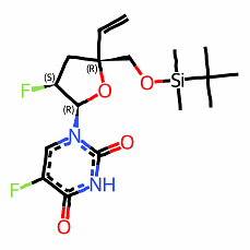 C=C[C@@]1(CO[Si](C)(C)C(C)(C)C)C[C@H](F)[C@H](n2cc(F)c(=O)[nH]c2=O)O1